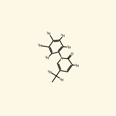 [2H]c1c([2H])c([2H])c(-n2cc(C([2H])([2H])C)cc([2H])c2=O)c([2H])c1[2H]